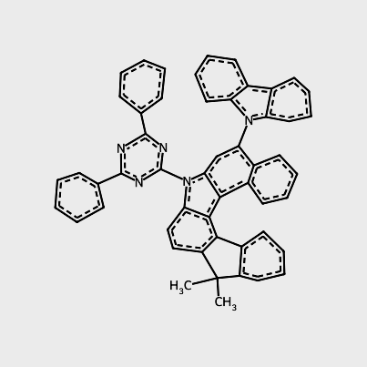 CC1(C)c2ccccc2-c2c1ccc1c2c2c3ccccc3c(-n3c4ccccc4c4ccccc43)cc2n1-c1nc(-c2ccccc2)nc(-c2ccccc2)n1